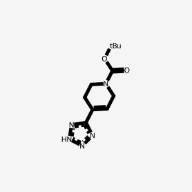 CC(C)(C)OC(=O)N1CC=C(c2nn[nH]n2)CC1